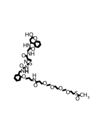 CC(=O)SCCOCCOCCOCCOCCC(=O)NCCCOc1ccccc1CNC(=O)Nc1nc(C(=O)NCC(=O)NC(CC(=O)O)c2ccccc2)cs1